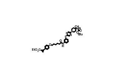 CCOC(=O)C1CC1c1ccc(OCCCCCC(=O)Nc2cccc(Sc3cnc(N4CCC(C)(NC(=O)OC(C)(C)C)CC4)cn3)c2)cc1